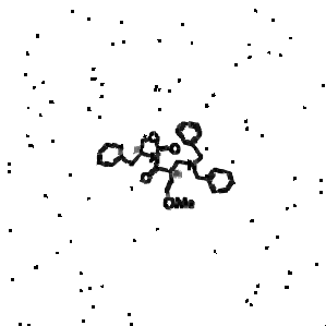 COCC[C@H](CN(Cc1ccccc1)Cc1ccccc1)C(=O)N1C(=O)OC[C@@H]1Cc1ccccc1